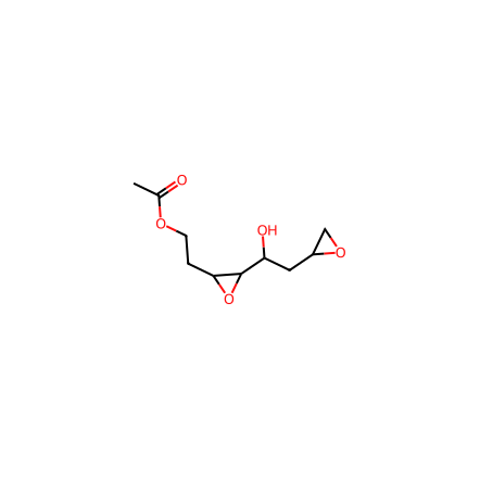 CC(=O)OCCC1OC1C(O)CC1CO1